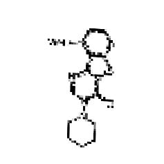 COc1ccnc2sc3c(=O)n(N4CCCCC4)cnc3c12